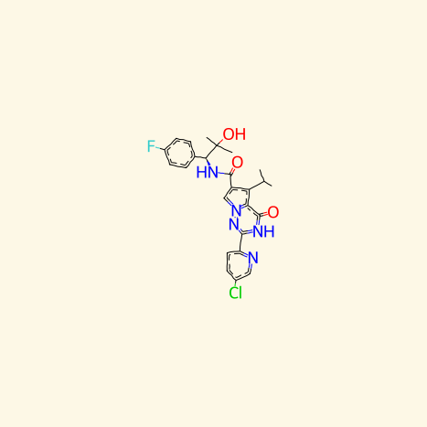 CC(C)c1c(C(=O)N[C@@H](c2ccc(F)cc2)C(C)(C)O)cn2nc(-c3ccc(Cl)cn3)[nH]c(=O)c12